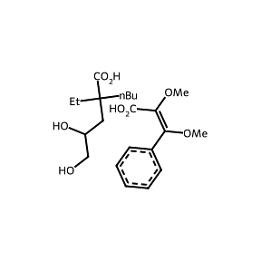 CCCCC(CC)(CC(O)CO)C(=O)O.COC(C(=O)O)=C(OC)c1ccccc1